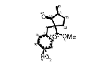 COC(=O)C1(Cc2ccc([N+](=O)[O-])cc2)CCC(C)C1=O